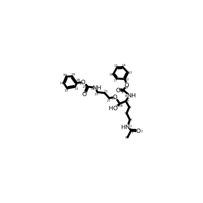 CC(=O)NCCCC(NC(=O)Oc1ccccc1)C(O)OCCCNC(=O)Oc1ccccc1